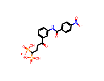 O=C(CCC(P(=O)(O)O)P(=O)(O)O)c1cccc(NC(=O)c2ccc([N+](=O)[O-])cc2)c1